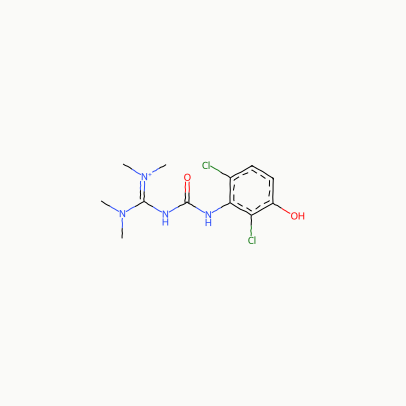 CN(C)C(NC(=O)Nc1c(Cl)ccc(O)c1Cl)=[N+](C)C